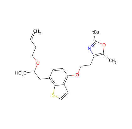 C=CCCOC(Cc1ccc(OCCc2nc(C(C)(C)C)oc2C)c2ccsc12)C(=O)O